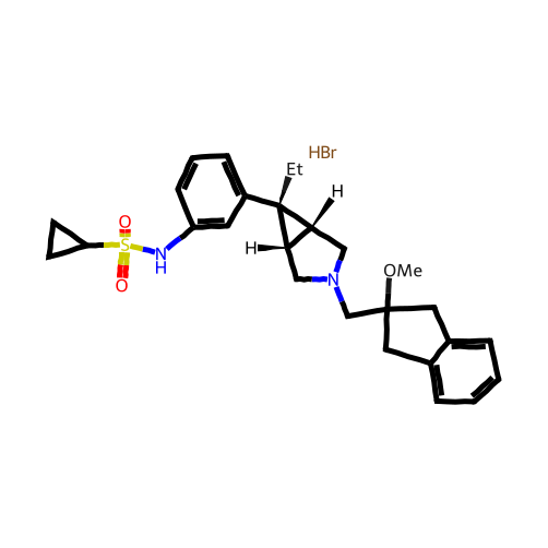 Br.CC[C@@]1(c2cccc(NS(=O)(=O)C3CC3)c2)[C@@H]2CN(CC3(OC)Cc4ccccc4C3)C[C@@H]21